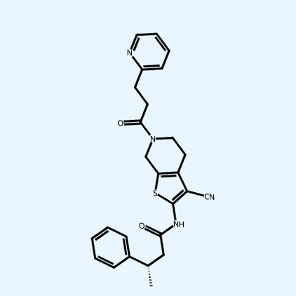 C[C@@H](CC(=O)Nc1sc2c(c1C#N)CCN(C(=O)CCc1ccccn1)C2)c1ccccc1